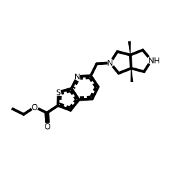 CCOC(=O)c1cc2ccc(CN3C[C@]4(C)CNC[C@]4(C)C3)nc2s1